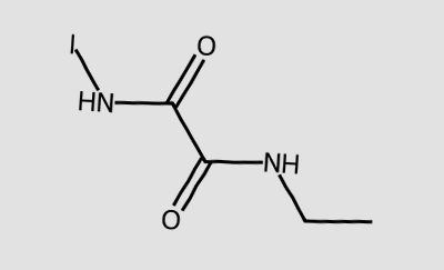 CCNC(=O)C(=O)NI